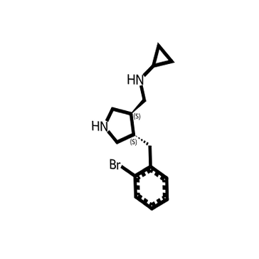 Brc1ccccc1C[C@@H]1CNC[C@H]1CNC1CC1